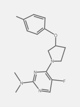 Cc1ccc(OC2CCN(c3nc(N(C)C)ncc3F)C2)cc1